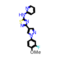 COc1ccc(-n2cc(-c3nsc(Nc4ccccn4)n3)cn2)cc1F